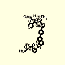 COC(=O)NC(C(=O)N1C[Si](C)(C)CC1c1ncc(-c2ccc(-c3ccc4c(ccc5nc([C@@H]6CCCN6C(=O)C(NC(=O)CO)C(C)C)[nH]c54)c3)cc2)[nH]1)C1CCOCC1